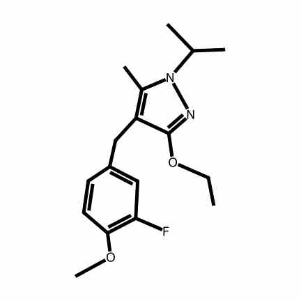 CCOc1nn(C(C)C)c(C)c1Cc1ccc(OC)c(F)c1